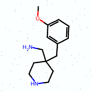 COc1cccc(CC2(CN)CCNCC2)c1